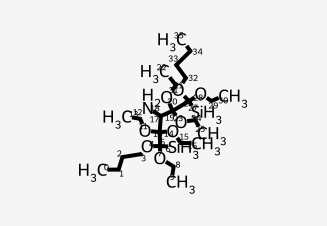 CCCCOC([SiH3])(OCC)C(OCC)(OCC)C(N)C(OCC)(OCC)C([SiH3])(OCC)OCCCC